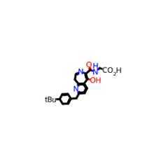 CC(C)(C)C1C=CC(Cc2ccc3c(n2)CC=NC(C(=O)NCC(=O)O)=C3O)=CC1